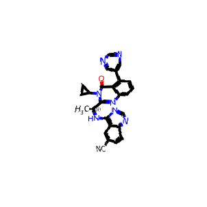 C[C@H](Nc1ncnc2ccc(C#N)cc12)c1nc2cccc(-c3cncnc3)c2c(=O)n1C1CC1